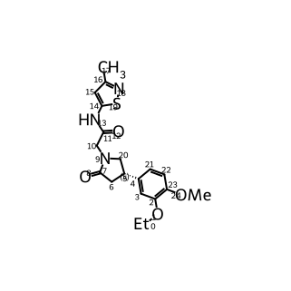 CCOc1cc([C@@H]2CC(=O)N(CC(=O)Nc3cc(C)ns3)C2)ccc1OC